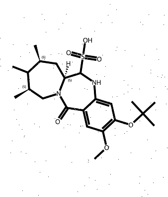 COc1cc2c(cc1OC(C)(C)C)NC(S(=O)(=O)O)[C@@H]1C[C@H](C)C(C)[C@H](C)CN1C2=O